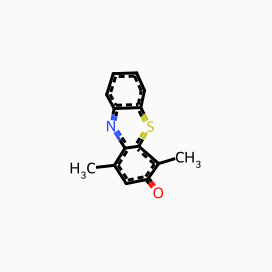 Cc1cc(=O)c(C)c2sc3ccccc3nc1-2